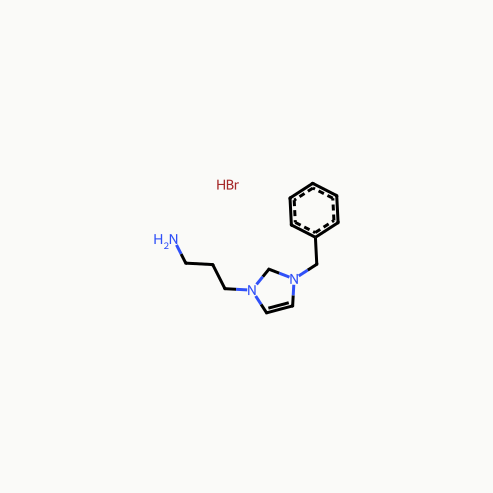 Br.NCCCN1C=CN(Cc2ccccc2)C1